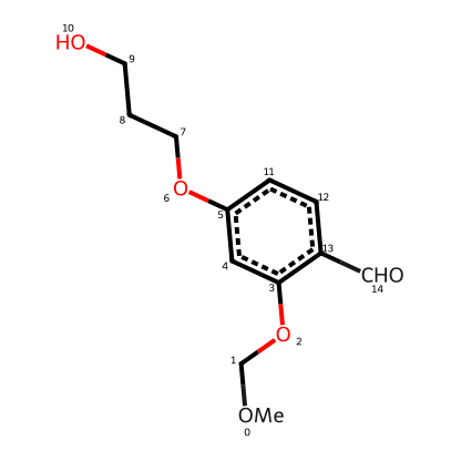 COCOc1cc(OCCCO)ccc1C=O